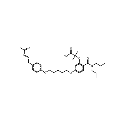 CCCN(CCC)C(=O)c1ccc(OCCCCCOc2ccc(CN=NC(C)=O)cc2)cc1OC(C)(C)C(=O)O